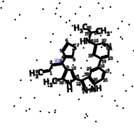 C=C/C=C(/c1ccsc1)c1cc(-c2n[nH]c3ccc(-c4cncc(NC(C)C)c4)cc23)[nH]c1C